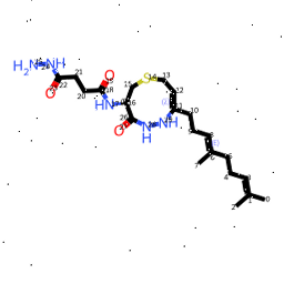 CC(C)=CCC/C(C)=C/CC/C1=C/CSC[C@H](NC(=O)CCC(=O)NN)C(=O)NN1